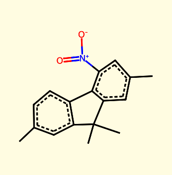 Cc1ccc2c(c1)C(C)(C)c1cc(C)cc([N+](=O)[O-])c1-2